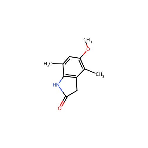 COc1cc(C)c2c(c1C)CC(=O)N2